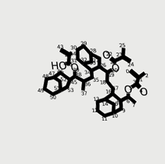 C=C(C)C(=O)OC(C)C1CC2CCCC(C2)C1CCC(OC(=O)C(=C)C)C1CC2CCCC(C2)C1CC(C)C(OC(O)C(=C)C)C1CC2CCCC(C2)C1